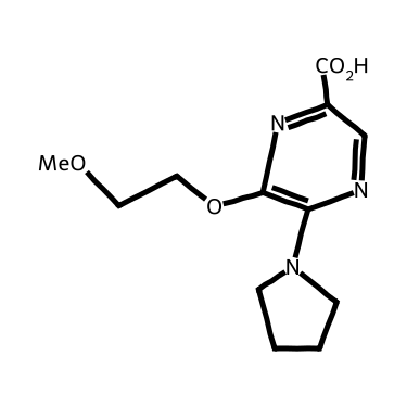 COCCOc1nc(C(=O)O)cnc1N1CCCC1